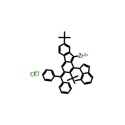 Cc1cccc2c1C(c1c(C(C)(C)C)c(=C(c3ccccc3)c3ccccc3)cc3c1=[C]([Zr+2])c1cc(C(C)(C)C)ccc1-3)C=C2.[Cl-].[Cl-]